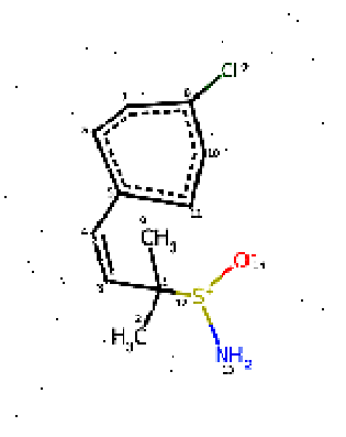 CC(C)(/C=C\c1ccc(Cl)cc1)[S+](N)[O-]